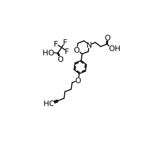 C#CCCCCOc1ccc(C2CN(CCC(=O)O)CCO2)cc1.O=C(O)C(F)(F)F